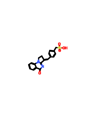 O=c1nc2n(c3ccccc13)CC/C2=C\c1ccc(CS(=O)(=O)O)cc1